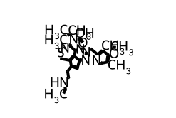 CCNCCc1cc2nn(Cc3ncc(C)c(OC)c3C)nc3c-2c1CSN=C3N(C(=O)O)C(C)(C)C